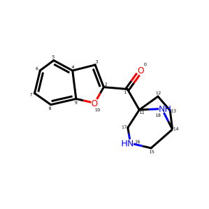 O=C(c1cc2ccccc2o1)C12CCC(CNC1)N2